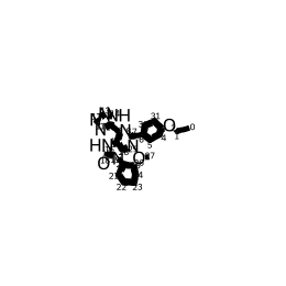 CCOc1ccc(-c2nc(-c3nnn[nH]3)c3[nH]c(=O)n(-c4ccccc4OC)c3n2)cc1